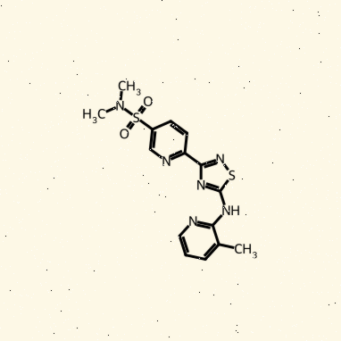 Cc1cccnc1Nc1nc(-c2ccc(S(=O)(=O)N(C)C)cn2)ns1